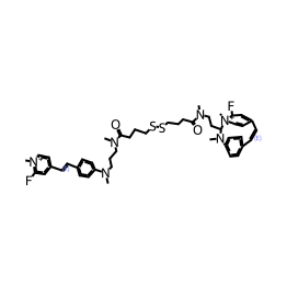 CN(CCCN(C)c1ccc(/C=C/c2cc[n+](C)c(F)c2)cc1)C(=O)CCCSSCCCC(=O)N(C)CCC1N(C)c2ccc(cc2)/C=C/C2=CC(F)[N+]1(C)C=C2